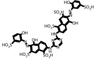 O=S(=O)(O)c1ccc(O)c(N=Nc2c(S(=O)(=O)O)cc3c(S(=O)(=O)O)c(Nc4ncnc(Nc5ccc6c(O)c(N=Nc7cc(S(=O)(=O)O)ccc7O)c(S(=O)(=O)O)cc6c5S(=O)(=O)O)n4)ccc3c2O)c1